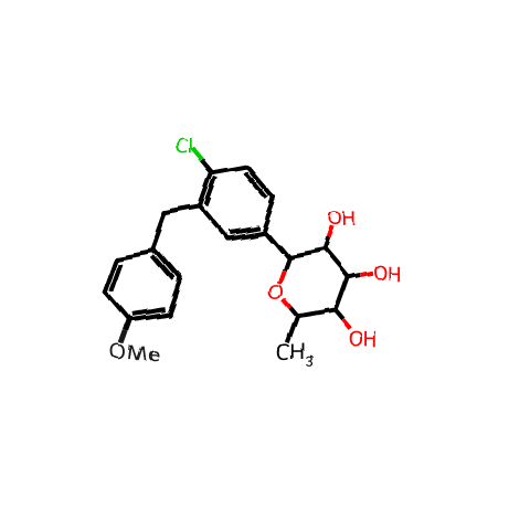 COc1ccc(Cc2cc(C3OC(C)C(O)C(O)C3O)ccc2Cl)cc1